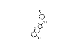 Clc1ccc(Nc2cc(Cc3c(Cl)cccc3Cl)cs2)cc1